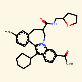 COC(=O)c1ccc2c(C3CCCCC3)c3n(c2c1)CC(C(=O)NCC1CCCO1)Cc1cc(OC)ccc1-3